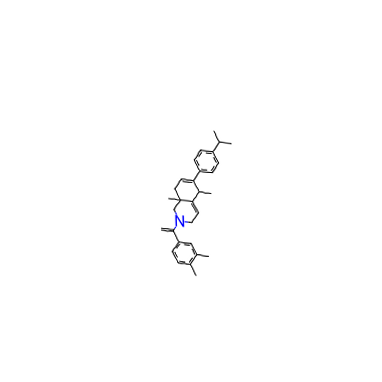 C=C(c1ccc(C)c(C)c1)N1CC=C2C(C)C(c3ccc(C(C)C)cc3)=CCC2(C)C1